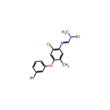 CCN(C)C=Nc1cc(C)c(Oc2cccc(C(C)C)c2)cc1Cl